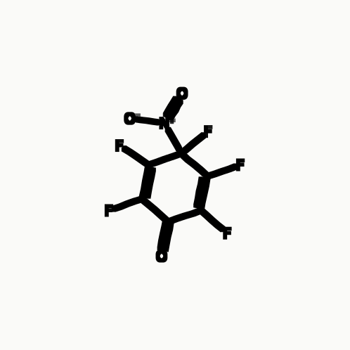 O=C1C(F)=C(F)C(F)([N+](=O)[O-])C(F)=C1F